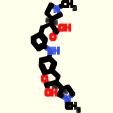 CN1CC[C@H]([C@H](Cc2cccc(Nc3cccc(C[C@H](C(=O)O)[C@H]4CCN(C)C4)c3)c2)C(=O)O)C1